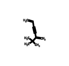 C=CC#CC(=C)C(C)(C)C